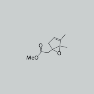 COC(=O)CC12CC=C(C)C1(C)O2